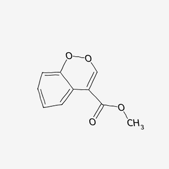 COC(=O)C1=COOc2ccccc21